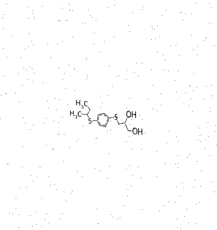 CCC(C)Sc1ccc(SCC(O)CO)cc1